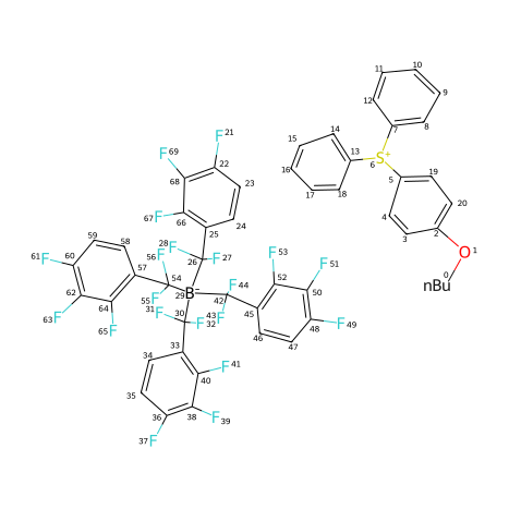 CCCCOc1ccc([S+](c2ccccc2)c2ccccc2)cc1.Fc1ccc(C(F)(F)[B-](C(F)(F)c2ccc(F)c(F)c2F)(C(F)(F)c2ccc(F)c(F)c2F)C(F)(F)c2ccc(F)c(F)c2F)c(F)c1F